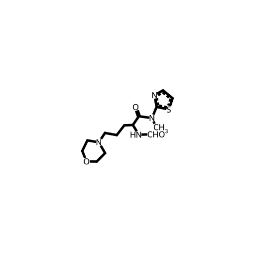 CN(C(=O)C(CCCN1CCOCC1)NC=O)c1nccs1